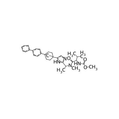 COC(=O)NC(C(=O)N(C)C(C)c1ncc(C23CCC(c4ccc(-c5ccccc5)cc4)(CC2)CC3)[nH]1)C(C)C